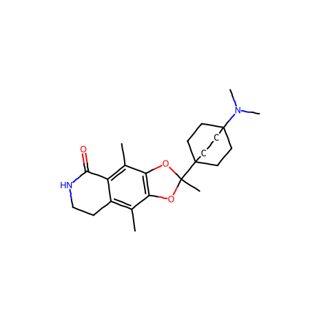 Cc1c2c(c(C)c3c1OC(C)(C14CCC(N(C)C)(CC1)CC4)O3)C(=O)NCC2